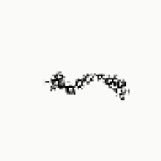 Cn1c(=O)n(C2CCC(=O)NC2=O)c2ccc(N3CC(CN4CCN(c5ccc(-c6cc(-c7cc8c([nH]7)C7(CCCC7)CNC8=O)ccn6)cc5)CC4)C3)cc21